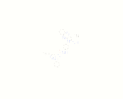 Cc1ccc(-n2nc(C(C)(C)C)cc2NC(=O)Nc2ccc(-n3c(N)c(C#N)c4nc5ccccc5nc43)cc2)cc1